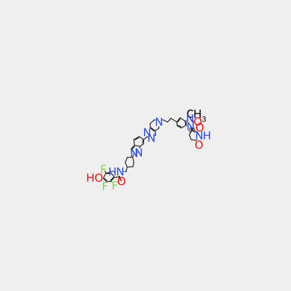 Cn1c(=O)n([C@@H]2CCC(=O)NC2=O)c2ccc(CCCN3CCc4nc(-c5ccc6cn(C7CCC(CNC(=O)c8cc(F)c(O)c(F)c8F)CC7)nc6c5)ncc4C3)cc21